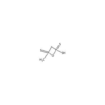 CP1(=S)CP(=S)(S)O1